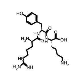 N=C(N)NCCC[C@@H](N)C(=O)N[C@@H](Cc1ccc(O)cc1)C(=O)N[C@@H](CCCCN)C(=O)O